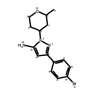 CC1CC(n2nc(-c3ccc(Br)cc3)cc2N)CCO1